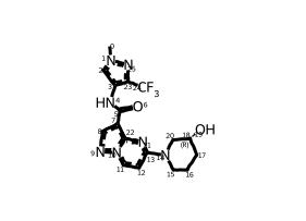 Cn1cc(NC(=O)c2cnn3ccc(N4CCC[C@@H](O)C4)nc23)c(C(F)(F)F)n1